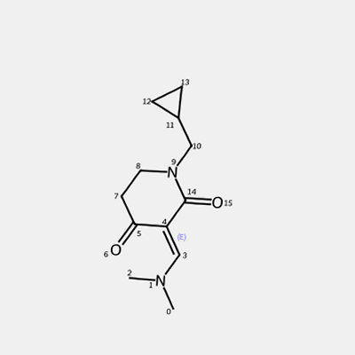 CN(C)/C=C1\C(=O)CCN(CC2CC2)C1=O